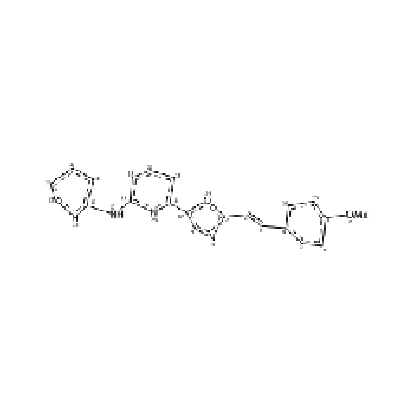 COc1ccc(/C=C/c2ncc(-c3cccc(Nc4ccccn4)n3)o2)cc1